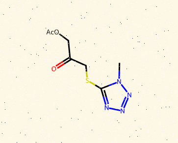 CC(=O)OCC(=O)CSc1nnnn1C